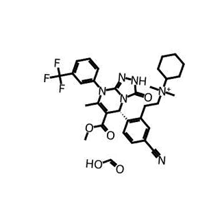 COC(=O)C1=C(C)N(c2cccc(C(F)(F)F)c2)c2n[nH]c(=O)n2[C@@H]1c1ccc(C#N)cc1CC[N+](C)(C)C1CCCCC1.O=CO